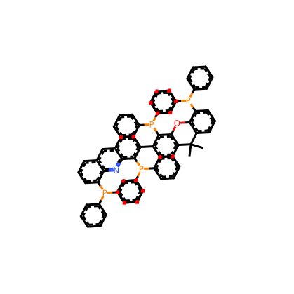 CC1(C)c2cccc(P(c3ccccc3)c3ccccc3)c2Oc2c1ccc(-c1ccc3cc4cccc(P(c5ccccc5)c5ccccc5)c4nc3c1P(c1ccccc1)c1ccccc1)c2P(c1ccccc1)c1ccccc1